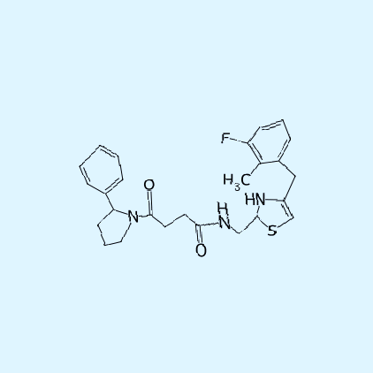 Cc1c(F)cccc1CC1=CSC(CNC(=O)CCC(=O)N2CCCC2c2ccccc2)N1